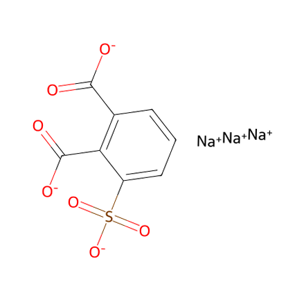 O=C([O-])c1cccc(S(=O)(=O)[O-])c1C(=O)[O-].[Na+].[Na+].[Na+]